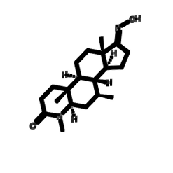 C[C@H]1C[C@H]2N(C)C(=O)CC[C@]2(C)[C@H]2CC[C@]3(C)C(=NO)CC[C@H]3[C@H]12